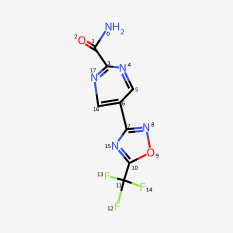 NC(=O)c1ncc(-c2noc(C(F)(F)F)n2)cn1